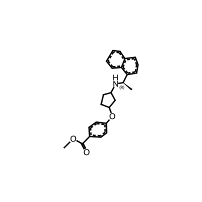 COC(=O)c1ccc(OC2CCC(N[C@H](C)c3cccc4ccccc34)C2)cc1